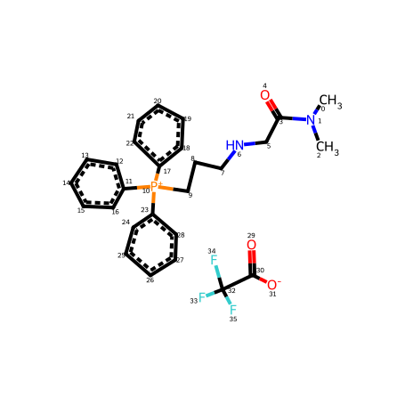 CN(C)C(=O)CNCCC[P+](c1ccccc1)(c1ccccc1)c1ccccc1.O=C([O-])C(F)(F)F